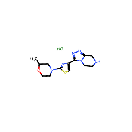 CC1CN(c2nc(-c3nnc4n3CCNC4)cs2)CCO1.Cl